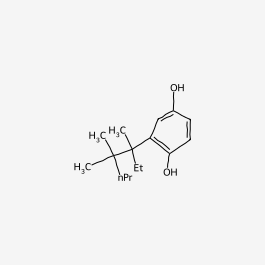 CCCC(C)(C)C(C)(CC)c1cc(O)ccc1O